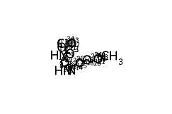 CO[C@@H](C(=O)Nc1ccc2[nH]nc(-c3ccc(OCC4CCN(C)CC4)cc3)c2c1)c1ccccc1